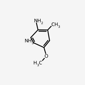 COc1ccc(N)c(C)c1.N